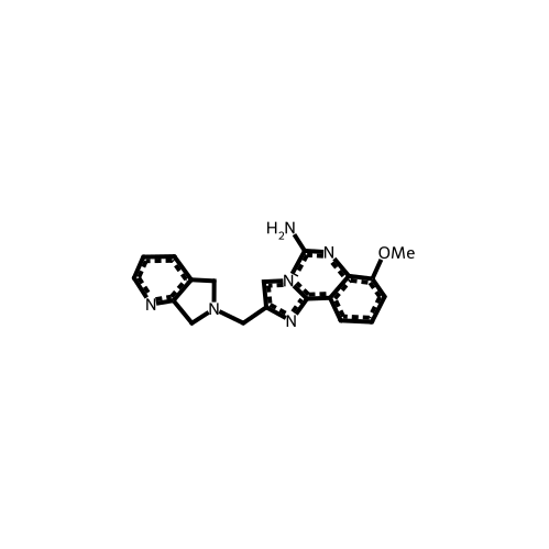 COc1cccc2c1nc(N)n1cc(CN3Cc4cccnc4C3)nc21